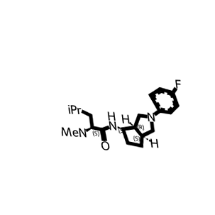 CN[C@@H](CC(C)C)C(=O)N[C@H]1CC[C@@H]2CN(c3ccc(F)cc3)C[C@@H]21